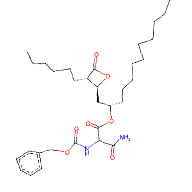 CCCCCCCCCCC[C@@H](C[C@@H]1OC(=O)[C@H]1CCCCCC)OC(=O)C(NC(=O)OCc1ccccc1)C(N)=O